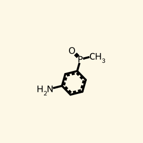 C[P](=O)c1cccc(N)c1